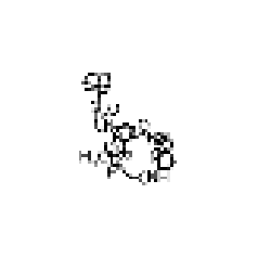 CC1(C)C[C@@H]2CCCNc3cccc(n3)S(=O)(=O)NC(=O)c3ccc(N4CCN(OCC56CC7CC(CC(C7)C5)C6)C4=O)nc3N1C2